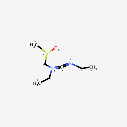 CCN=C=[N+](CC)C[S+](C)[O-]